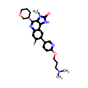 CN(C)CCCOc1ccc(-c2cc3c(cc2F)nc([C@@H]2CCCOC2)c2c3[nH]c(=O)n2C)cn1